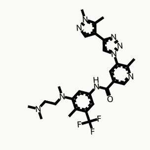 Cc1ncc(C(=O)Nc2cc(N(C)CCN(C)C)c(C)c(C(F)(F)F)c2)cc1-n1cc(-c2cnn(C)c2C)nn1